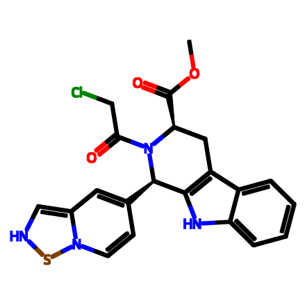 COC(=O)[C@H]1Cc2c([nH]c3ccccc23)[C@@H](C2=CC3=CNSN3C=C2)N1C(=O)CCl